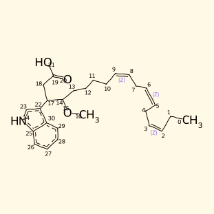 CC/C=C\C/C=C\C/C=C\CCCCC(OC)C(CC(=O)O)c1c[nH]c2ccccc12